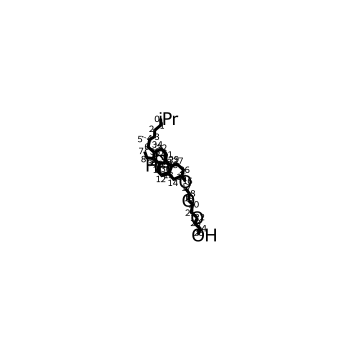 CC(C)CCC[C@@H](C)[C@H]1CC[C@H]2[C@@H]3CC=C4CC(OCCOCCOCCO)CC[C@]4(C)[C@H]3CC[C@]12C